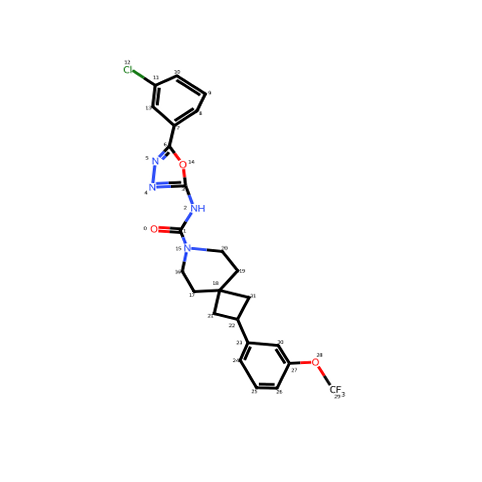 O=C(Nc1nnc(-c2cccc(Cl)c2)o1)N1CCC2(CC1)CC(c1cccc(OC(F)(F)F)c1)C2